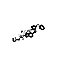 Cc1c(NC(=O)NCC2CCCO2)cn2ncc(C#N)c(Nc3ccc(OC4=CCCC=C4)cc3)c12